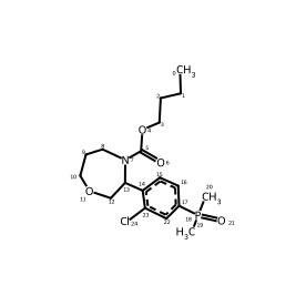 CCCCOC(=O)N1CCCOCC1c1ccc(P(C)(C)=O)cc1Cl